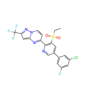 CCS(=O)(=O)c1cc(-c2cc(F)cc(Cl)c2)cnc1-c1ccn2nc(C(F)(F)F)cc2n1